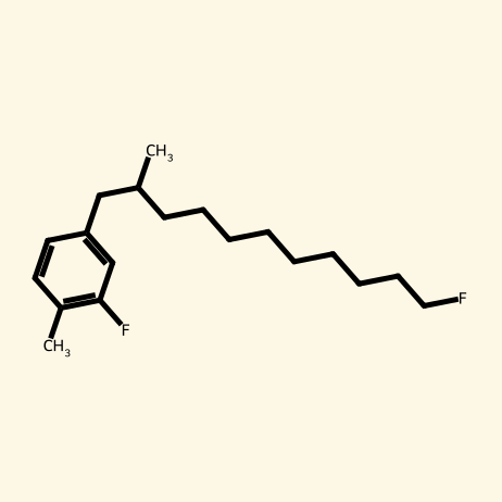 Cc1ccc(CC(C)CCCCCCCCCF)cc1F